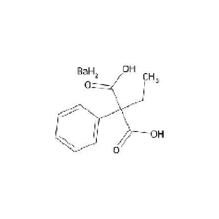 CCC(C(=O)O)(C(=O)O)c1ccccc1.[BaH2]